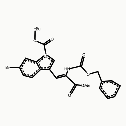 COC(=O)C(=Cc1cn(C(=O)OC(C)(C)C)c2cc(Br)ccc12)NC(=O)OCc1ccccc1